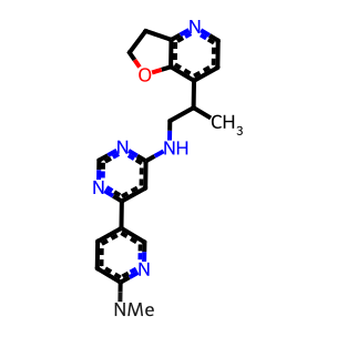 CNc1ccc(-c2cc(NCC(C)c3ccnc4c3OCC4)ncn2)cn1